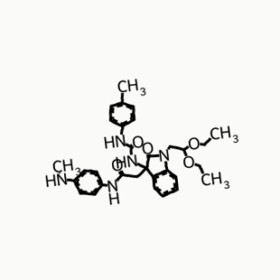 CCOC(CN1C(=O)C(CC(=O)Nc2ccc(NC)cc2)(NC(=O)Nc2ccc(C)cc2)c2ccccc21)OCC